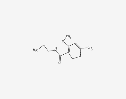 CCCNC(=O)C1=C(OC)C=C(C)CC1